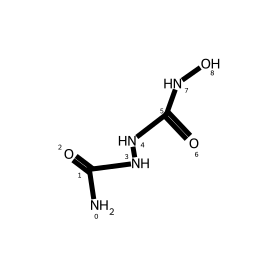 NC(=O)NNC(=O)NO